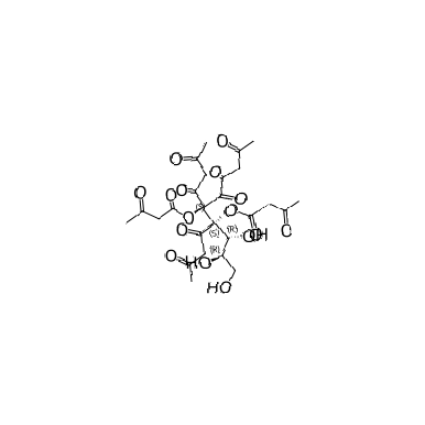 CC(=O)CC(=O)O[C@@](C(=O)CC(C)=O)(C(=O)C(=O)CC(C)=O)[C@](OC(=O)CC(C)=O)(C(=O)CC(C)=O)[C@H](O)[C@H](O)CO